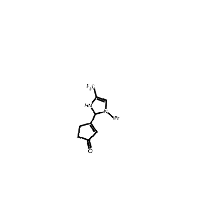 CC(C)N1C=C(C(F)(F)F)NC1C1=CC(=O)CC1